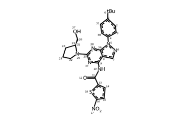 CC(C)(C)c1ccc(-n2ncc3c(NC(=O)c4ccc([N+](=O)[O-])s4)nc(N4CCC[C@H]4CO)nc32)cc1